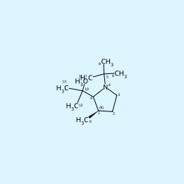 C[C@@H]1CCN(C(C)(C)C)C1C(C)(C)C